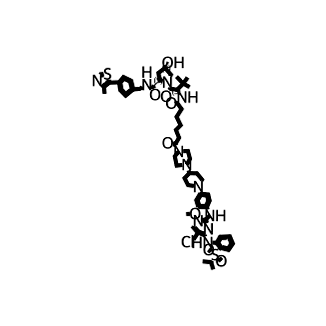 COc1cc(N2CCC(N3CCN(C(=O)CCCCCC(=O)N[C@H](C(=O)N4C[C@H](O)C[C@H]4C(=O)NCc4ccc(-c5scnc5C)cc4)C(C)(C)C)CC3)CC2)ccc1Nc1ncc(Cl)c(Nc2ccccc2S(=O)(=O)C(C)C)n1